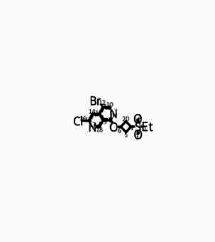 CCS(=O)(=O)C1CC(Oc2ncc(Br)c3cc(Cl)ncc23)C1